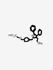 CSCCc1c(-c2ccccc2)c(-c2ccccc2)nn1CC1CCC(COCC(=O)O)CC1